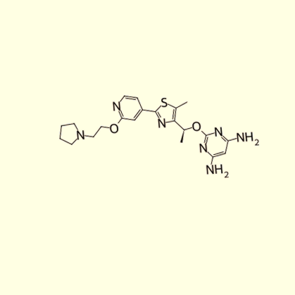 Cc1sc(-c2ccnc(OCCN3CCCC3)c2)nc1[C@H](C)Oc1nc(N)cc(N)n1